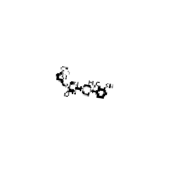 Cc1c(S)cccc1N1CCN(c2ncn(Cc3ccc(C(F)(F)F)o3)c(=O)n2)CC1